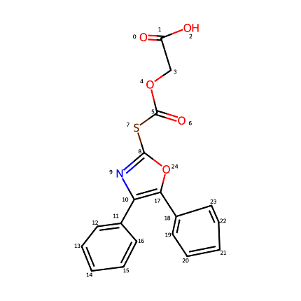 O=C(O)COC(=O)Sc1nc(-c2ccccc2)c(-c2ccccc2)o1